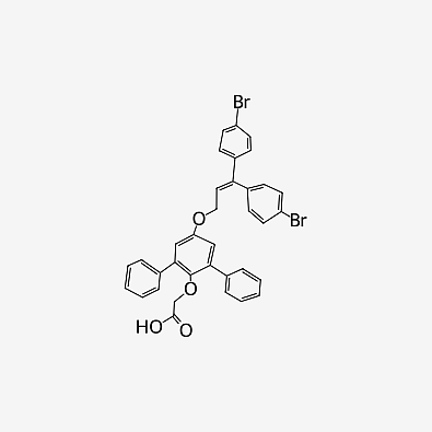 O=C(O)COc1c(-c2ccccc2)cc(OCC=C(c2ccc(Br)cc2)c2ccc(Br)cc2)cc1-c1ccccc1